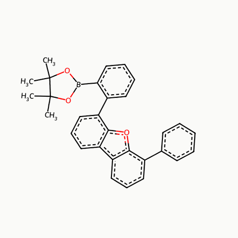 CC1(C)OB(c2ccccc2-c2cccc3c2oc2c(-c4ccccc4)cccc23)OC1(C)C